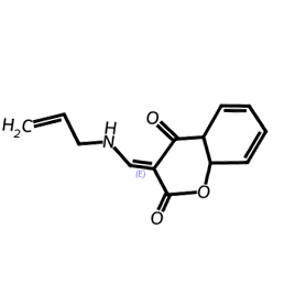 C=CCN/C=C1/C(=O)OC2C=CC=CC2C1=O